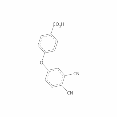 N#Cc1ccc(Oc2ccc(C(=O)O)cc2)cc1C#N